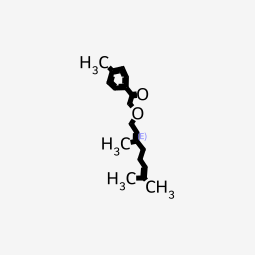 CC(C)=CCC/C(C)=C/COCC(=O)c1ccc(C)cc1